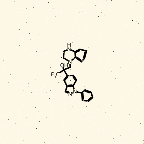 OC(CN1CCNc2ccccc21)(c1ccc2c(cnn2-c2ccccc2)c1)C(F)(F)F